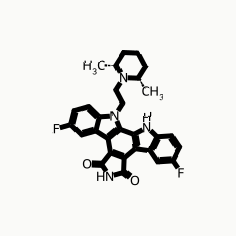 C[C@@H]1CCC[C@H](C)N1CCn1c2ccc(F)cc2c2c3c(c4c5cc(F)ccc5[nH]c4c21)C(=O)NC3=O